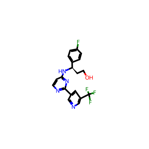 OCC[C@@H](Nc1ccnc(-c2cncc(C(F)(F)F)c2)n1)c1ccc(F)cc1